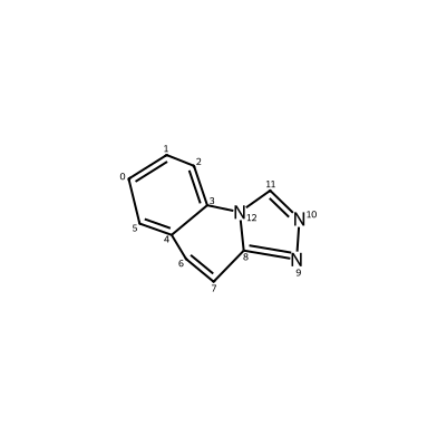 c1ccc2c(c1)ccc1nncn12